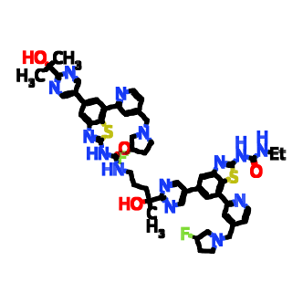 CCNC(=O)Nc1nc2cc(-c3cnc(C(C)(O)CCCNC(=O)Nc4nc5cc(-c6cnc(C(C)(C)O)nc6)cc(-c6cc(CN7CC[C@H](F)C7)ccn6)c5s4)nc3)cc(-c3cc(CN4CC[C@@H](F)C4)ccn3)c2s1